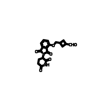 O=CC1CC(COc2cccc3c2C(=O)N(C2CCC(=O)NC2=O)C3=O)C1